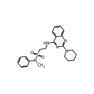 CN(c1ccccc1)S(=O)(=O)CCNc1nc(N2CCCCC2)nc2ccccc12